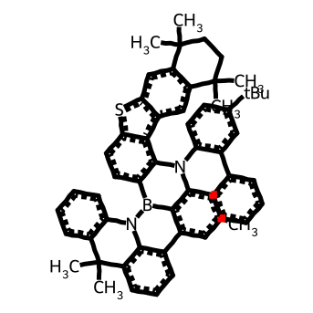 Cc1cc2c3c(c1)N(c1ccc(C(C)(C)C)cc1-c1ccccc1)c1c(ccc4sc5cc6c(cc5c14)C(C)(C)CCC6(C)C)B3N1c3ccccc3C(C)(C)c3cccc-2c31